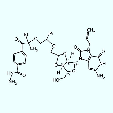 C=CCn1c(=O)n([C@@H]2O[C@H](CO)[C@H]3OC(COC(COC(C)(CC)C(=O)c4ccc(C(=O)NN)cc4)C(C)C)O[C@H]32)c2cc(N)[nH]c(=O)c21